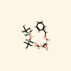 CC(C)(C)[Si](C)(C)O[Si](C)(C)C(C)(C)C.O=C[C@H]1O[C@H]1COCc1ccccc1